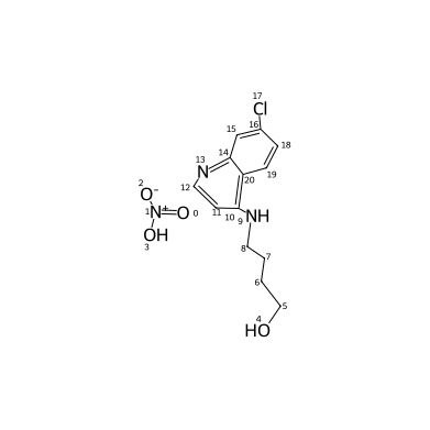 O=[N+]([O-])O.OCCCCNc1ccnc2cc(Cl)ccc12